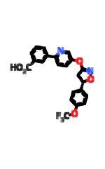 O=C(O)c1cccc(-c2ccc(OC3=NO[C@@H](c4ccc(OC(F)(F)F)cc4)C3)cn2)c1